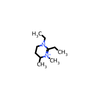 CCC1=[N+](C)C(C)CCN1CC